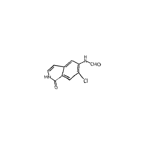 O=CNc1cc2cc[nH]c(=O)c2cc1Cl